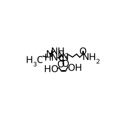 CCC/N=C(/N)Nc1ccn(CCCCC(N)=O)n1.O=C(O)/C=C\C(=O)O